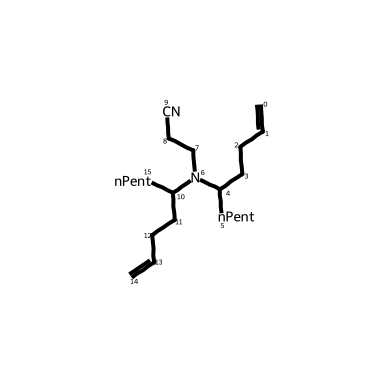 C=CCCC(CCCCC)N(CCC#N)C(CCC=C)CCCCC